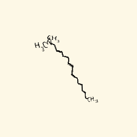 CCCCCCCCCCCCC=CCN(C)C